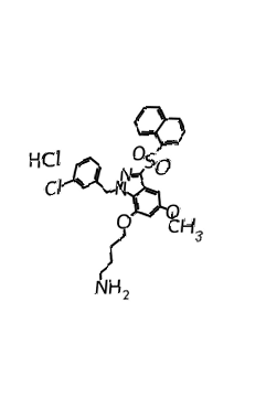 COc1cc(OCCCCN)c2c(c1)c(S(=O)(=O)c1cccc3ccccc13)nn2Cc1cccc(Cl)c1.Cl